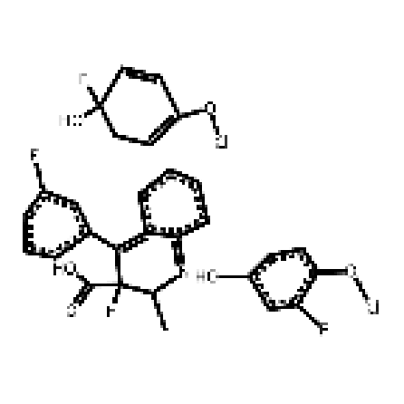 CC1N=c2ccccc2=C(c2cccc(F)c2)C1(F)C(=O)O.OC1(F)C=CC(OCl)=CC1.Oc1ccc(OCl)c(F)c1